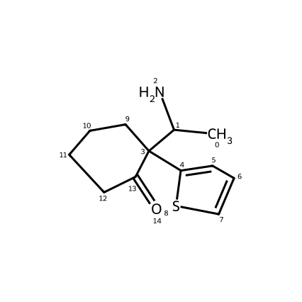 CC(N)C1(c2cccs2)CCCCC1=O